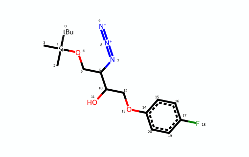 CC(C)(C)[Si](C)(C)OCC(N=[N+]=[N-])C(O)COc1ccc(F)cc1